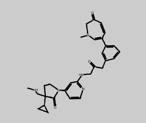 CNCC1(C2CC2)CCN(c2ccnc(NCC(=O)Cc3cccc(C4=CN(C)CC(=O)C=C4)c3)c2)C1=O